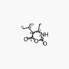 Cc1[nH]c(=O)oc(=O)c1C(C)C